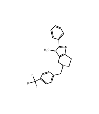 Cn1c(-c2ccccc2)nc2c1CN(Cc1ccc(C(F)(F)F)cc1)CC2